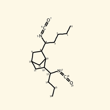 CCCCC(N=C=O)C1CC2CC(C(CCC)N=C=O)C1C2